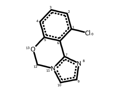 Clc1cccc2c1-c1nccn1CO2